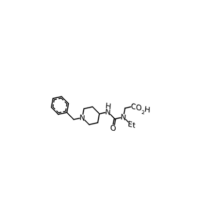 CCN(CC(=O)O)C(=O)NC1CCN(Cc2ccccc2)CC1